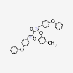 Cc1ccc2c(c1)O/C(=C\c1ccc(Oc3ccccc3)cc1)C(=O)/C(=C/c1ccc(Oc3ccccc3)cc1)O2